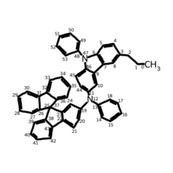 CCCc1ccc2c(c1)c1cc(N(c3ccccc3)c3ccc4c(c3)C3(c5ccccc5-c5ccccc53)c3ccccc3-4)ccc1n2-c1ccccc1